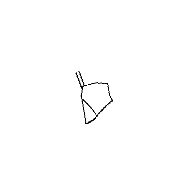 C=C1CCC2CC12